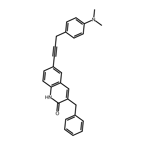 CN(C)c1ccc(CC#Cc2ccc3[nH]c(=O)c(Cc4ccccc4)cc3c2)cc1